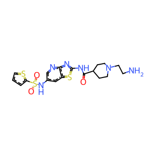 NCCN1CCC(C(=O)Nc2nc3ncc(NS(=O)(=O)c4cccs4)cc3s2)CC1